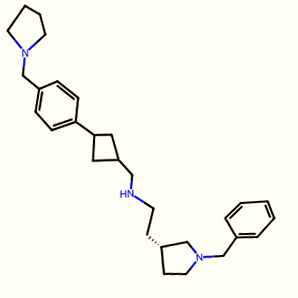 c1ccc(CN2CC[C@H](CCNCC3CC(c4ccc(CN5CCCC5)cc4)C3)C2)cc1